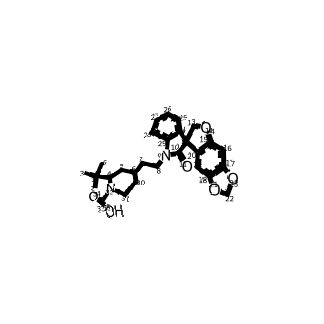 CC(C)(C)C1CC(CCN2C(=O)C3(COc4cc5c(cc43)OCO5)c3ccccc32)CCN1C(=O)O